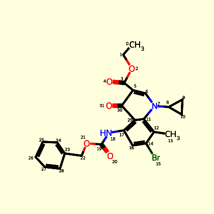 CCOC(=O)c1cn(C2CC2)c2c(C)c(Br)cc(NC(=O)OCc3ccccc3)c2c1=O